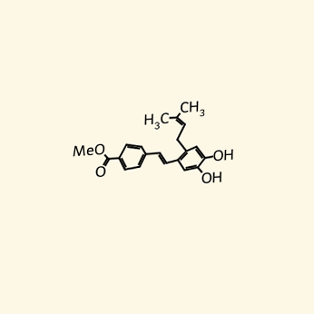 COC(=O)c1ccc(/C=C/c2cc(O)c(O)cc2CC=C(C)C)cc1